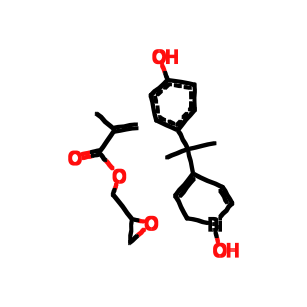 C=C(C)C(=O)OCC1CO1.CC(C)(C1=C[CH2][Bi]([OH])[CH]=C1)c1ccc(O)cc1